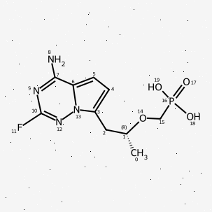 C[C@H](Cc1ccc2c(N)nc(F)nn12)OCP(=O)(O)O